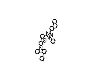 c1ccc(-c2nc(-c3ccc4c(ccc5ccccc54)c3)nc(-c3cccc4c3oc3cc(-n5c6ccccc6c6c(-c7ccccc7)cccc65)ccc34)n2)cc1